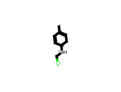 CC1=CCC(BCCl)C=C1